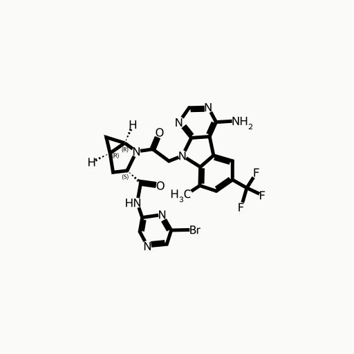 Cc1cc(C(F)(F)F)cc2c3c(N)ncnc3n(CC(=O)N3[C@@H]4C[C@@H]4C[C@H]3C(=O)Nc3cncc(Br)n3)c12